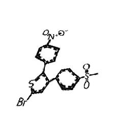 CS(=O)(=O)c1ccc(-c2cc(Br)sc2-c2ccc([N+](=O)[O-])cc2)cc1